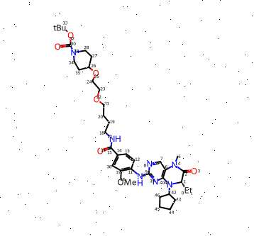 CC[C@@H]1C(=O)N(C)c2cnc(Nc3ccc(C(=O)NCCCCOCCOC4CCN(C(=O)OC(C)(C)C)CC4)cc3OC)nc2N1C1CCCC1